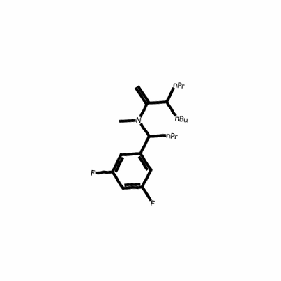 C=C(C(CCC)CCCC)N(C)C(CCC)c1cc(F)cc(F)c1